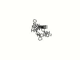 Cl.Cl.NC1CCC(Nc2nc(NC3CCN(C4(C=O)CCCCC4)CC3)c3ncn(C4CCCC4)c3n2)CC1